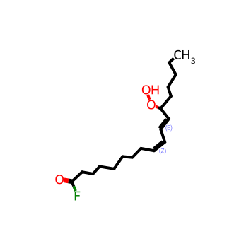 CCCCCC(/C=C/C=C\CCCCCCCC(=O)F)OO